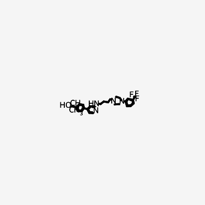 CC(C)(O)c1ccc(-c2ccnc(NCCCCN3CCN(c4cccc(C(F)(F)F)c4)CC3)c2)cc1